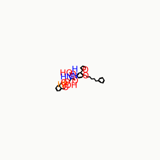 O=C(O)NC(CO[PH]1(O)OCc2ccccc2CO1)C(=O)Nc1ccc(OCCCCCc2ccccc2)c(-c2ccco2)c1